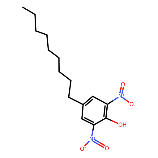 CCCCCCCCCc1cc([N+](=O)[O-])c(O)c([N+](=O)[O-])c1